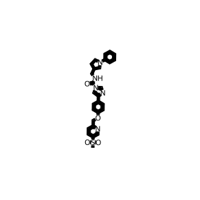 CS(=O)(=O)c1ccc(COc2ccc(-c3cn(C(=O)NCC4CCN(c5ccccc5)C4)cn3)cc2)nc1